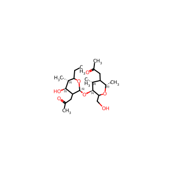 CCC1O[C@@H](O[C@@H]2C(CO)O[C@@H](C)C(CC(C)=O)[C@H]2C)C(CC(C)=O)[C@@H](O)[C@@H]1C